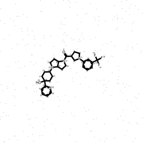 O=C(C1CCN(c2cccc(C(F)(F)F)c2)C1)N1CCC2C1CCN2C1CCC(O)(c2ccccn2)CC1